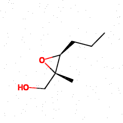 CCC[C@@H]1O[C@@]1(C)CO